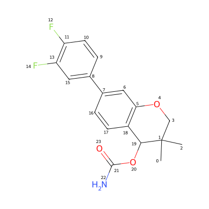 CC1(C)COc2cc(-c3ccc(F)c(F)c3)ccc2C1OC(N)=O